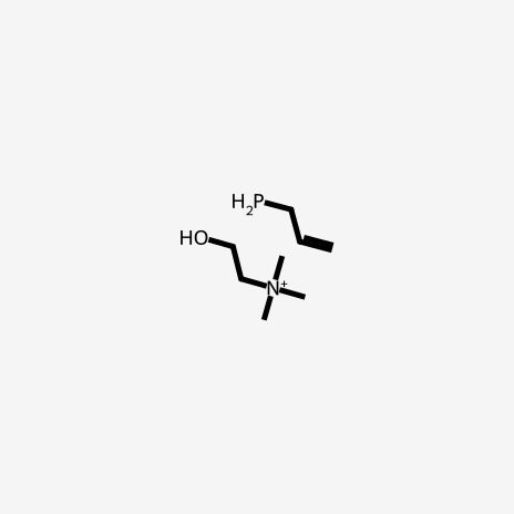 C=CCP.C[N+](C)(C)CCO